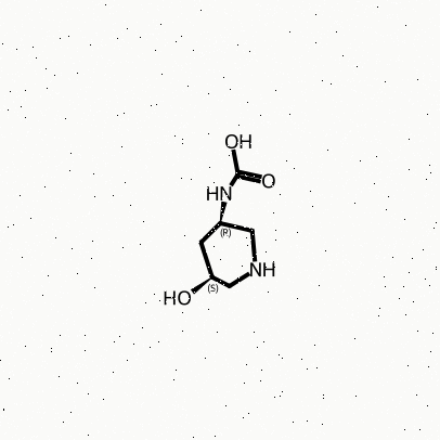 O=C(O)N[C@H]1CNC[C@@H](O)C1